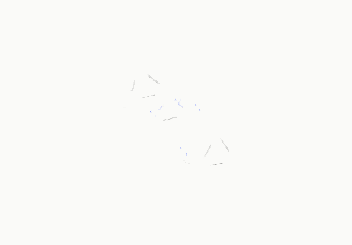 CCc1cccc(CC)c1-c1nc(C)c(CN(C)[C@H]2CCCc3ccccc32)c(N2CCC2)n1